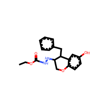 CCOC(=O)NNC1COc2ccc(O)cc2C1Cc1ccccc1